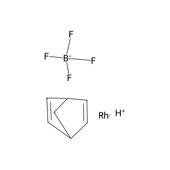 C1=CC2C=CC1C2.F[B-](F)(F)F.[H+].[Rh]